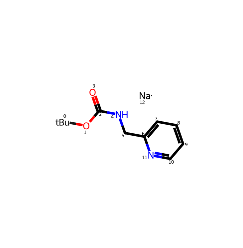 CC(C)(C)OC(=O)NCc1ccccn1.[Na]